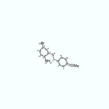 COc1ccc(CSc2cc(Br)ccc2N)cc1